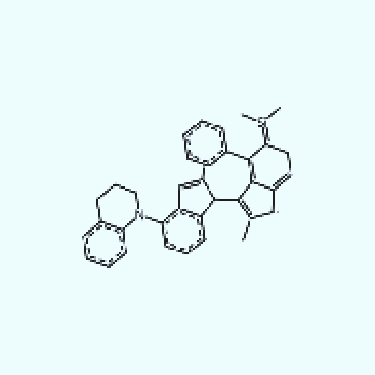 CC1=Cc2c(cccc2N2CCCc3ccccc32)C1C1=C(C)[CH]C2=CCC(=[Si](C)C)C(c3ccccc3)=C21